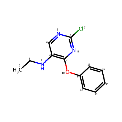 CCNc1cnc(Cl)nc1Oc1ccccc1